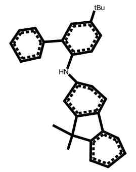 CC(C)(C)c1ccc(Nc2ccc3c(c2)C(C)(C)c2ccccc2-3)c(-c2ccccc2)c1